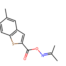 CC(C)=NOC(=O)c1cc2cc(C)ccc2s1